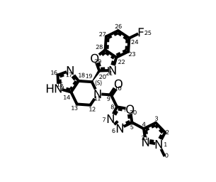 Cn1ccc(-c2nnc(C(=O)N3CCc4[nH]cnc4[C@H]3c3nc4cc(F)ccc4o3)o2)n1